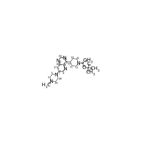 CN1CCN(c2cnc3c(C4CCN(C(=O)OC(C)(C)C)CC4)ncnc3c2)CC1